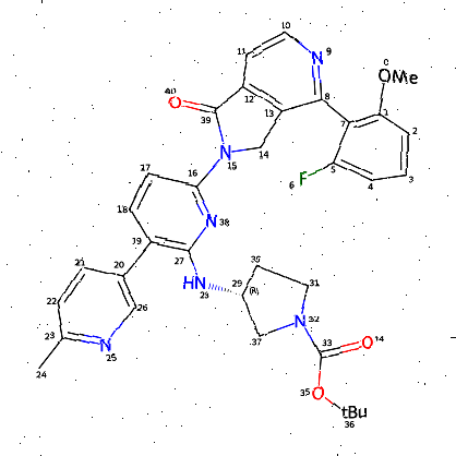 COc1cccc(F)c1-c1nccc2c1CN(c1ccc(-c3ccc(C)nc3)c(N[C@@H]3CCN(C(=O)OC(C)(C)C)C3)n1)C2=O